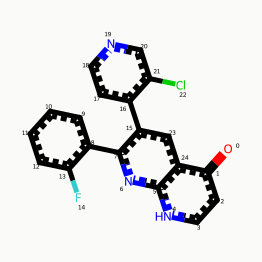 O=c1cc[nH]c2nc(-c3ccccc3F)c(-c3ccncc3Cl)cc12